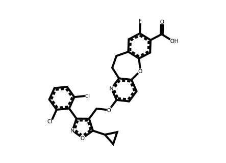 O=C(O)c1cc2c(cc1F)CCc1nc(OCc3c(-c4c(Cl)cccc4Cl)noc3C3CC3)ccc1O2